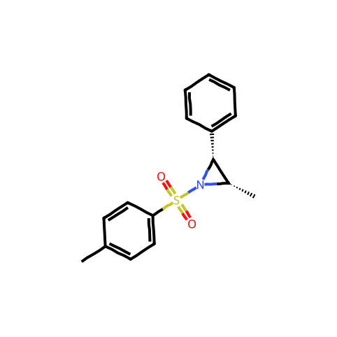 Cc1ccc(S(=O)(=O)N2[C@H](c3ccccc3)[C@@H]2C)cc1